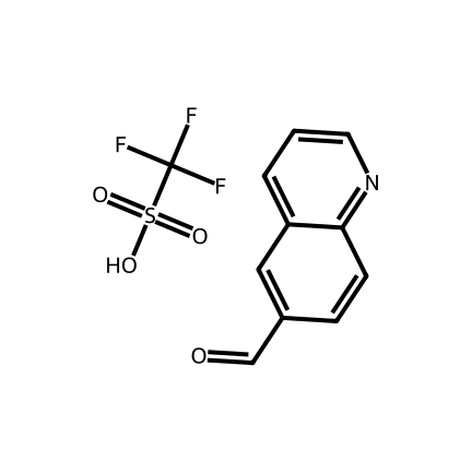 O=Cc1ccc2ncccc2c1.O=S(=O)(O)C(F)(F)F